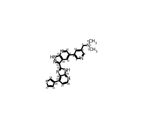 CN(C)Cc1cncc(-c2cnc3[nH]nc(-c4nc5c(-c6ccsc6)ccnc5[nH]4)c3c2)c1